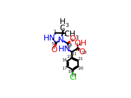 CC1(C)CNC(=O)N1C(=O)NC(C(=O)O)c1ccc(Cl)cc1